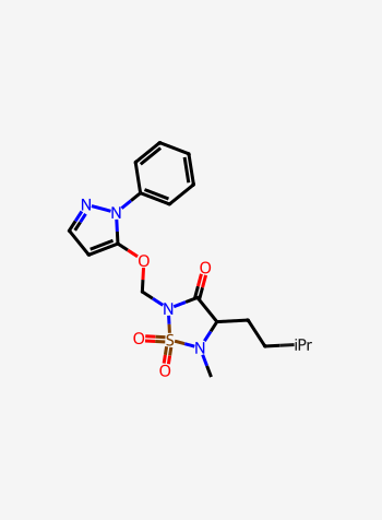 CC(C)CCC1C(=O)N(COc2ccnn2-c2ccccc2)S(=O)(=O)N1C